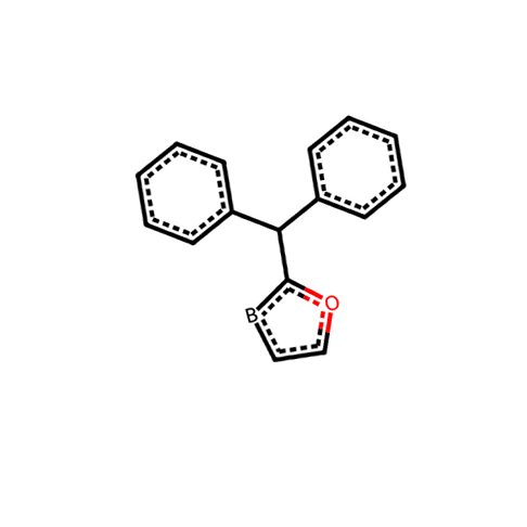 b1ccoc1C(c1ccccc1)c1ccccc1